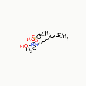 CCCCCCCCCCCCN1CCN(CCO)C1CC.Cc1ccc(S(=O)(=O)O)cc1